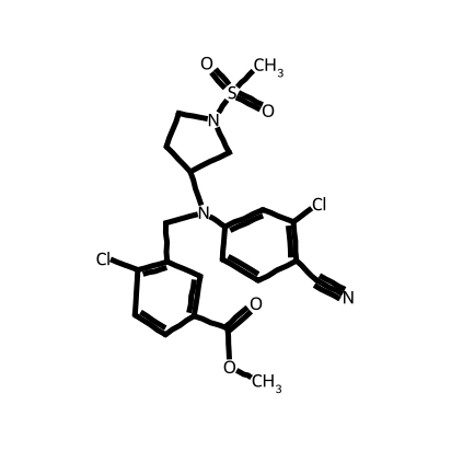 COC(=O)c1ccc(Cl)c(CN(c2ccc(C#N)c(Cl)c2)C2CCN(S(C)(=O)=O)C2)c1